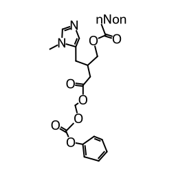 CCCCCCCCCC(=O)OCC(CC(=O)OCOC(=O)Oc1ccccc1)Cc1cncn1C